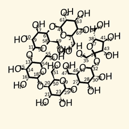 OC[C@H]1O[C@@H](O[C@@H]2[C@H](O)[C@@H](O)C(O[C@@H]3[C@H](O)[C@@H](O)[C@H](O[C@@H]4[C@H](O)[C@@H](O)[C@H](O[C@@H]5[C@H](O)[C@@H](O)[C@H](O[C@]6(CO)O[C@H](CO)[C@@H](O)[C@@H]6O)O[C@@H]5CO)O[C@@H]4CO)O[C@@H]3CO)O[C@@H]2CO)[C@H](O)[C@@H](O)[C@H]1O